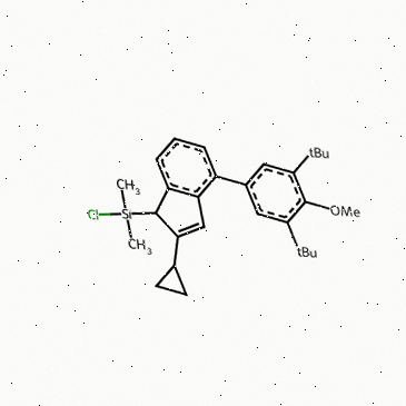 COc1c(C(C)(C)C)cc(-c2cccc3c2C=C(C2CC2)C3[Si](C)(C)Cl)cc1C(C)(C)C